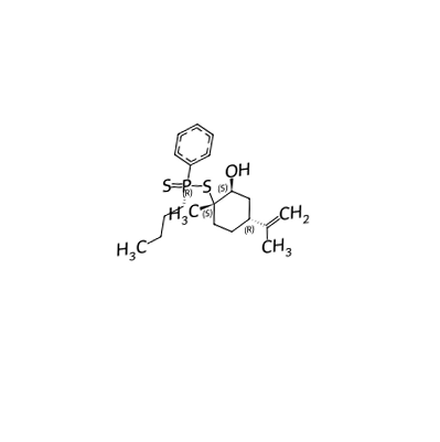 C=C(C)[C@@H]1CC[C@](C)(S[P@](=S)(CCCC)c2ccccc2)[C@@H](O)C1